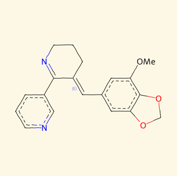 COc1cc(/C=C2\CCCN=C2c2cccnc2)cc2c1OCO2